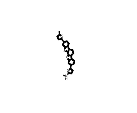 CNc1ccc(-c2ccc3c(c2)sc2c3ccc3c4ccc(-c5ccc(C)s5)cc4sc32)s1